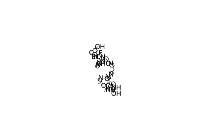 CCc1cccc2cc(O)cc(-c3ncc4c(N5CC6CCC(C5)N6C=O)nc(OCCN5CCC(CC6CN(c7cc(C(C)(C)CC(=O)[C@@]8(C(=O)N[C@@H](C)c9ccc(-c%10scnc%10C)cc9)CC(O)CN8)on7)C6)CC5)nc4c3F)c12